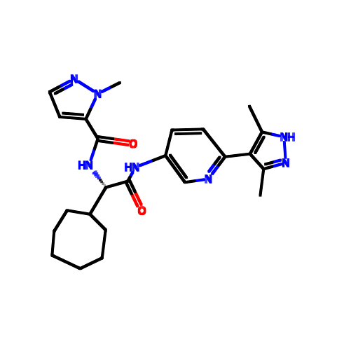 Cc1n[nH]c(C)c1-c1ccc(NC(=O)[C@@H](NC(=O)c2ccnn2C)C2CCCCCC2)cn1